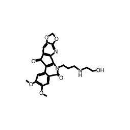 COc1cc2c3c(n(CCCNCCO)c(=O)c2cc1OC)-c1nc2c(cc1C3=O)OCO2